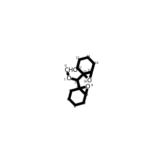 O=COC(C12CCCCC1O2)C12CCCCC1O2